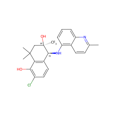 Cc1ccc2c(N[C@H]3c4ccc(Cl)c(O)c4C(C)(C)C[C@]3(O)C(F)(F)F)cccc2n1